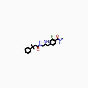 CNC(=O)c1ccc(C[C@H](N)CNC(=O)CC(C)(C)c2ccccc2)cc1F